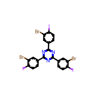 Brc1cc(-c2nc(-c3ccc(I)c(Br)c3)nc(-c3ccc(I)c(Br)c3)n2)ccc1I